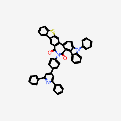 O=c1c2cc3c(cc2c2ccc4c(c5ccccc5n4-c4ccccc4)c2c(=O)n1-c1ccc(-c2cc(-c4ccccc4)nc(-c4ccccc4)c2)cc1)sc1ccccc13